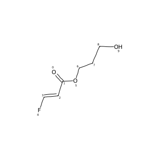 O=C(C=CF)OCCCO